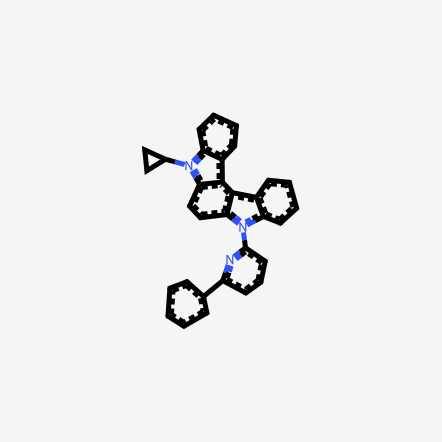 c1ccc(-c2cccc(-n3c4ccccc4c4c5c6ccccc6n(C6CC6)c5ccc43)n2)cc1